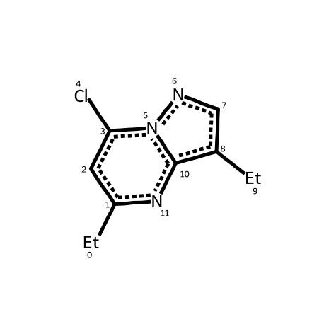 CCc1cc(Cl)n2ncc(CC)c2n1